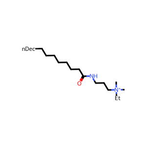 CCCCCCCCCCCCCCCCCC(=O)NCCC[N+](C)(C)CC